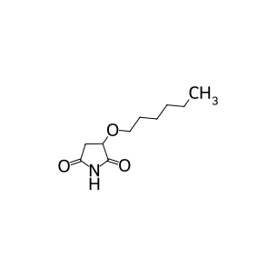 CCCCCCOC1CC(=O)NC1=O